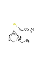 CCc1ccccc1.O=C(O)CS